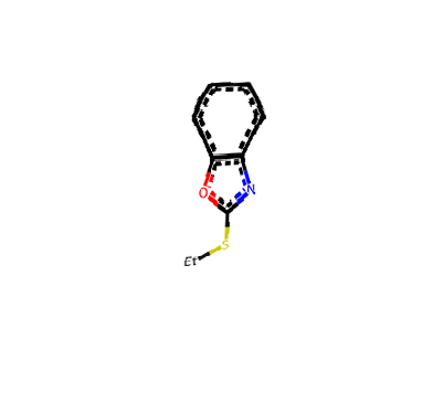 [CH2]CSc1nc2ccccc2o1